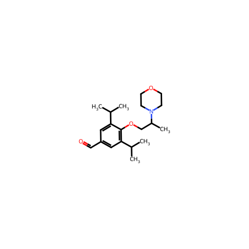 CC(C)c1cc(C=O)cc(C(C)C)c1OCC(C)N1CCOCC1